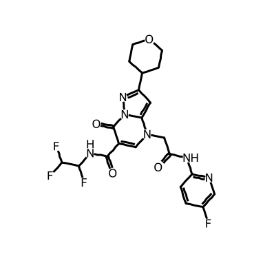 O=C(Cn1cc(C(=O)NC(F)C(F)F)c(=O)n2nc(C3CCOCC3)cc12)Nc1ccc(F)cn1